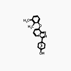 Cc1cccc(Oc2cccn3c(C45CCC(O)(CC4)CC5)nnc23)c1C